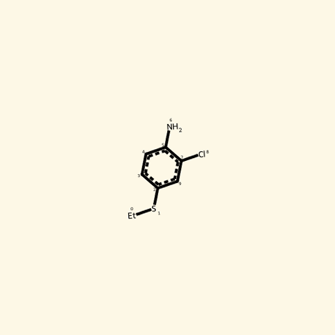 CCSc1ccc(N)c(Cl)c1